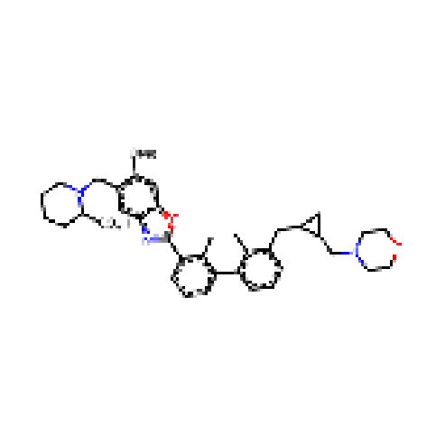 COc1cc2oc(-c3cccc(-c4cccc(CC5CC5CN5CCOCC5)c4C)c3C)nc2cc1CN1CCCCC1C(=O)O